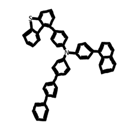 c1ccc(-c2ccc(-c3ccc(N(c4ccc(-c5cccc6ccccc56)cc4)c4ccc(-c5cccc6sc7ccccc7c56)cc4)cc3)cc2)cc1